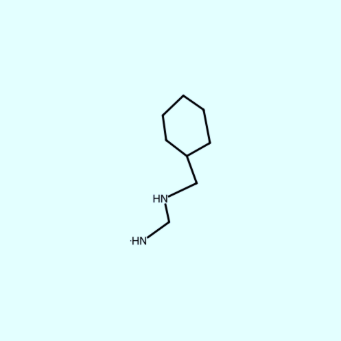 [NH]CNCC1CCCCC1